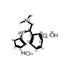 CN(C)C[CH]([Hf][C]1=CC=CC1)c1ccccc1.Cl.Cl.Cl